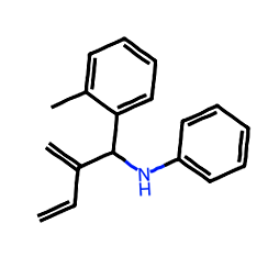 C=CC(=C)C(Nc1ccccc1)c1ccccc1C